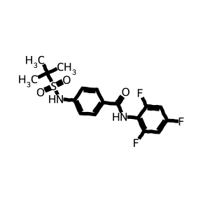 CC(C)(C)S(=O)(=O)Nc1ccc(C(=O)Nc2c(F)cc(F)cc2F)cc1